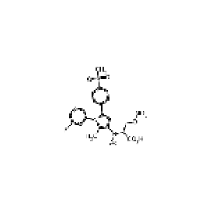 CC(=O)N(c1cc(-c2ccc(S(C)(=O)=O)cc2)n(-c2cccc(F)c2)c1C)C(CO[N+](=O)[O-])C(=O)O